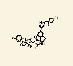 CN1CC(F)(Cn2cc(-c3ccc4c(c3)CC[C@]43NC(=O)N(CC(=O)N(Cc4ccc(F)cc4)C4(C(F)(F)F)COC4)C3=O)cn2)C1